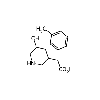 Cc1ccccc1.O=C(O)CC1CNCC(O)C1